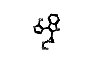 CSON1C=C1c1[nH]c2ccccc2c1-c1ccsc1C#N